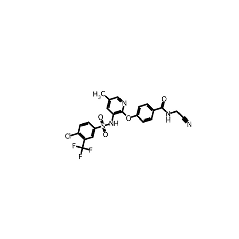 Cc1cnc(Oc2ccc(C(=O)NCC#N)cc2)c(NS(=O)(=O)c2ccc(Cl)c(C(F)(F)F)c2)c1